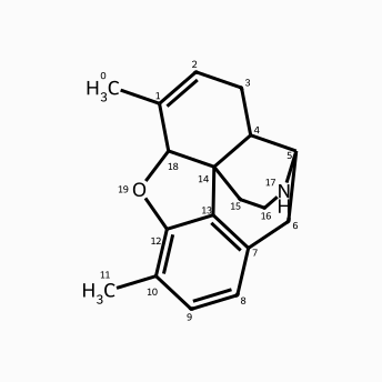 CC1=CCC2C3Cc4ccc(C)c5c4C2(CCN3)C1O5